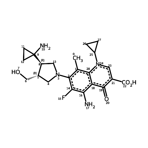 Cc1c(N2C[C@H](CO)[C@@H](C3(N)CC3)C2)c(F)c(N)c2c(=O)c(C(=O)O)cn(C3CC3)c12